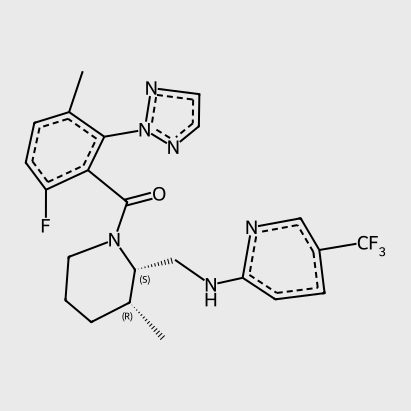 Cc1ccc(F)c(C(=O)N2CCC[C@@H](C)[C@H]2CNc2ccc(C(F)(F)F)cn2)c1-n1nccn1